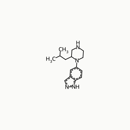 CC(C)CC1CNCCN1c1ccc2[nH]ncc2c1